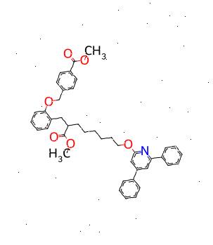 COC(=O)c1ccc(COc2ccccc2CC(CCCCCCOc2cc(-c3ccccc3)cc(-c3ccccc3)n2)C(=O)OC)cc1